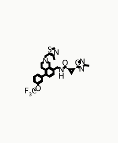 Cc1noc([C@@H]2C[C@H]2C(=O)NCc2ccc(-c3cccc(OC(F)(F)F)c3)c3c2CN(Cc2scnc2C)CC3)n1